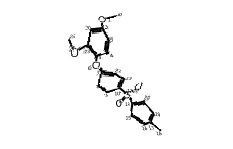 COc1ccc(Oc2ccc(S(=O)(=O)c3ccc(C)cc3)cc2)c(OC)c1